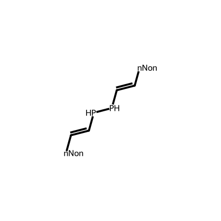 CCCCCCCCCC=CPPC=CCCCCCCCCC